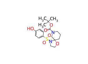 CC(C)(C)OC(=O)N1CCCC2(C1)OCCN2S(=O)(=O)c1ccc(O)cc1